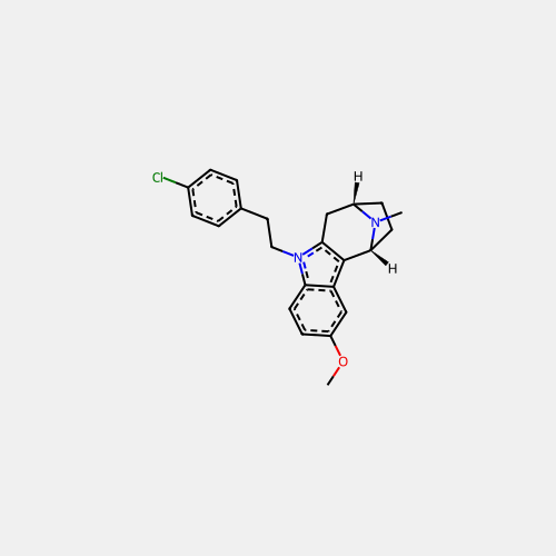 COc1ccc2c(c1)c1c(n2CCc2ccc(Cl)cc2)C[C@@H]2CC[C@H]1N2C